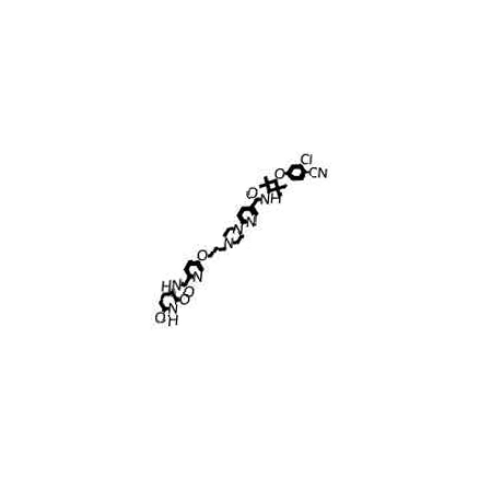 CC1(C)C(NC(=O)c2ccc(N3CCN(CCCOc4ccc(C(=O)N[C@@H]5CCC(=O)NC5=O)nc4)CC3)nc2)C(C)(C)C1Oc1ccc(C#N)c(Cl)c1